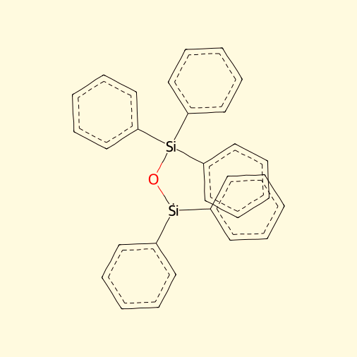 c1ccc([Si](O[Si](c2ccccc2)(c2ccccc2)c2ccccc2)c2ccccc2)cc1